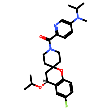 CC(C)O[C@@H]1CC2(CCN(C(=O)c3ccc(N(C)C(C)C)cn3)CC2)Oc2ccc(F)cc21